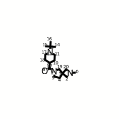 CN1CC2(CCN(C(=O)C3CCN(C(C)(C)C)CC3)C2)C1